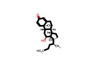 C[C@H](CCC(=O)O)[C@H]1CC[C@H]2[C@@H]3CCC4=CC(=O)C=C[C@]4(C)[C@H]3C[C@H](O)[C@]12C